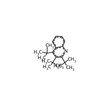 CC(C)(C)c1nc2ccccc2c(C(C)(C)C)c1C(C)(C)C